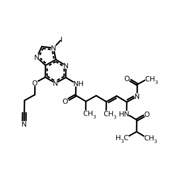 CC(=O)/N=C(\C=C(/C)CC(C)C(=O)Nc1nc(OCCC#N)c2ncn(I)c2n1)NC(=O)C(C)C